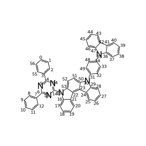 c1ccc(-c2nc(-c3ccccc3)nc(-n3c4ccccc4c4c5c6ccccc6n(-c6ccc(-n7c8ccccc8c8ccccc87)cc6)c5ccc43)n2)cc1